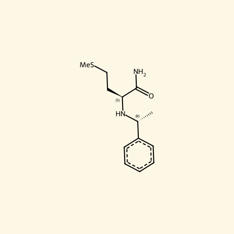 CSCC[C@H](N[C@H](C)c1ccccc1)C(N)=O